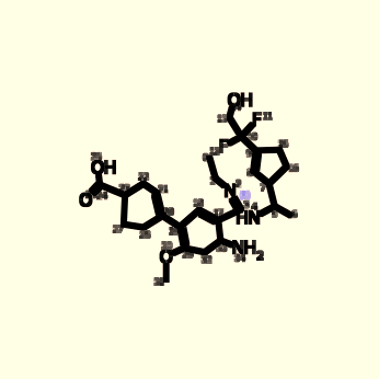 CC/N=C(/NC(C)C1C=C(C(F)(F)CO)CC1)C1=CC(C2=CCC(C(=O)O)CC2)=C(OC)CC1N